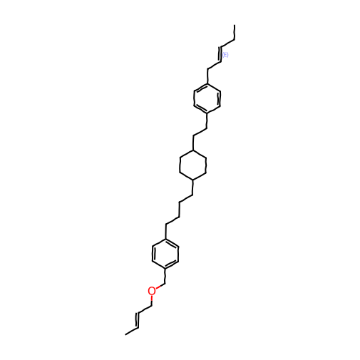 CC=CCOCc1ccc(CCCCC2CCC(CCc3ccc(C/C=C/CC)cc3)CC2)cc1